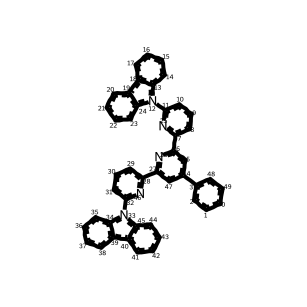 c1ccc(-c2cc(-c3cccc(-n4c5ccccc5c5ccccc54)n3)nc(-c3cccc(-n4c5ccccc5c5ccccc54)n3)c2)cc1